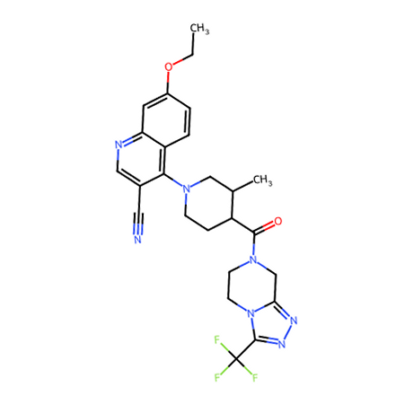 CCOc1ccc2c(N3CCC(C(=O)N4CCn5c(nnc5C(F)(F)F)C4)C(C)C3)c(C#N)cnc2c1